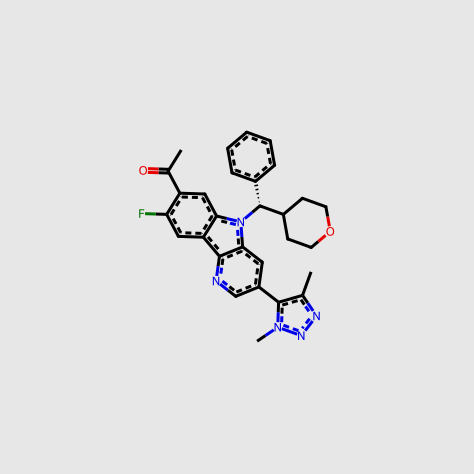 CC(=O)c1cc2c(cc1F)c1ncc(-c3c(C)nnn3C)cc1n2[C@H](c1ccccc1)C1CCOCC1